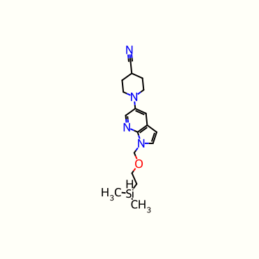 C[SiH](C)CCOCn1ccc2cc(N3CCC(C#N)CC3)cnc21